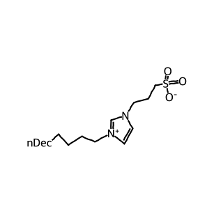 CCCCCCCCCCCCCC[n+]1ccn(CCCS(=O)(=O)[O-])c1